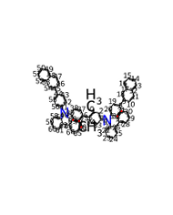 Cc1cc(N(c2ccc(-c3ccc4ccccc4c3)cc2)c2ccccc2-c2ccccc2)ccc1-c1ccc(N(c2ccc(-c3ccc4ccccc4c3)cc2)c2ccccc2-c2ccccc2)cc1C